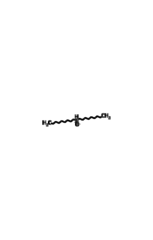 CCCCCCCCC[SiH]([O])CCCCCCCCC